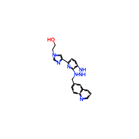 OCCn1cnc(-c2ccc3c(n2)N(Cc2ccc4ncccc4c2)NN3)c1